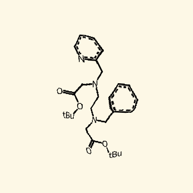 CC(C)(C)OC(=O)CN(CCN(CC(=O)OC(C)(C)C)Cc1ccccn1)Cc1ccccc1